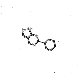 c1ccc(-c2ncc3cn[nH]c3n2)cc1